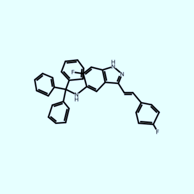 Fc1ccc(C=Cc2n[nH]c3cc(F)c(NC(c4ccccc4)(c4ccccc4)c4ccccc4)cc23)cc1